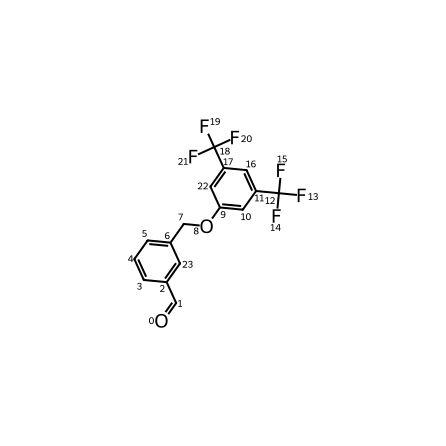 O=Cc1cccc(COc2cc(C(F)(F)F)cc(C(F)(F)F)c2)c1